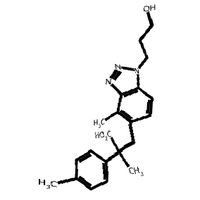 Cc1ccc(C(C)(Cc2ccc3c(nnn3CCCO)c2C)C(=O)O)cc1